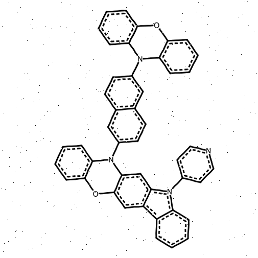 c1ccc2c(c1)Oc1ccccc1N2c1ccc2cc(N3c4ccccc4Oc4cc5c6ccccc6n(-c6ccncc6)c5cc43)ccc2c1